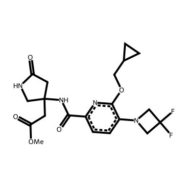 COC(=O)CC1(NC(=O)c2ccc(N3CC(F)(F)C3)c(OCC3CC3)n2)CNC(=O)C1